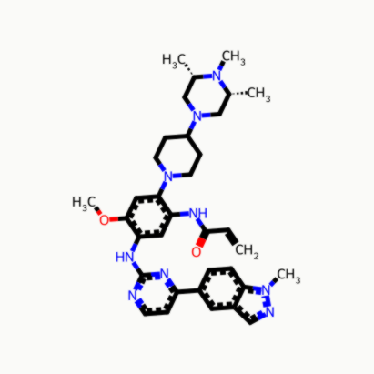 C=CC(=O)Nc1cc(Nc2nccc(-c3ccc4c(cnn4C)c3)n2)c(OC)cc1N1CCC(N2C[C@@H](C)N(C)[C@@H](C)C2)CC1